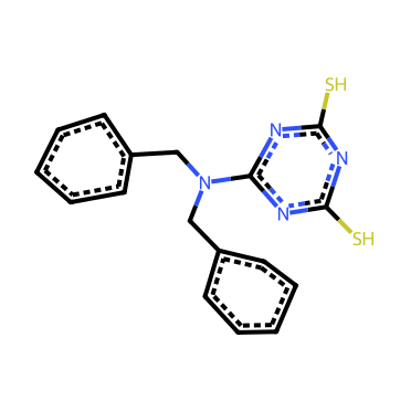 Sc1nc(S)nc(N(Cc2ccccc2)Cc2ccccc2)n1